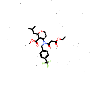 CCOC(=O)CC(=O)N(Cc1ccc(C(F)(F)F)cc1)C1=C(C(=O)OC)C(CC(C)C)OCC1